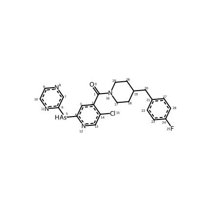 O=C(c1cc([AsH]c2cnccn2)ncc1Cl)N1CCC(Cc2ccc(F)cc2)CC1